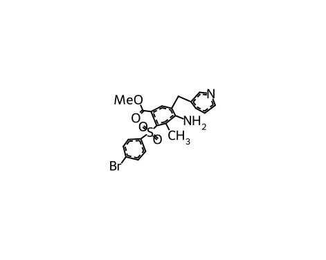 COC(=O)c1cc(Cc2cccnc2)c(N)c(C)c1S(=O)(=O)c1ccc(Br)cc1